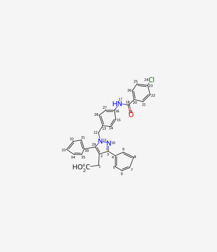 O=C(O)Cc1c(-c2ccccc2)nn(Cc2ccc(NC(=O)c3ccc(Cl)cc3)cc2)c1-c1ccccc1